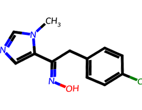 Cn1cncc1/C(Cc1ccc(Cl)cc1)=N/O